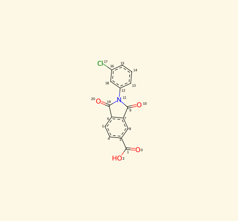 O=C(O)c1ccc2c(c1)C(=O)N(c1cccc(Cl)c1)C2=O